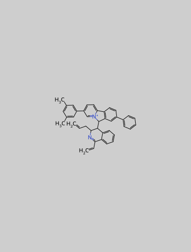 C=CCC1N=C(C=C)c2ccccc2C1C1c2cc(-c3ccccc3)ccc2-c2ccc(-c3cc(C)cc(C)c3)c[n+]21